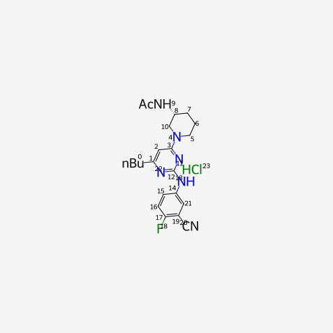 CCCCc1cc(N2CCC[C@@H](NC(C)=O)C2)nc(Nc2ccc(F)c(C#N)c2)n1.Cl